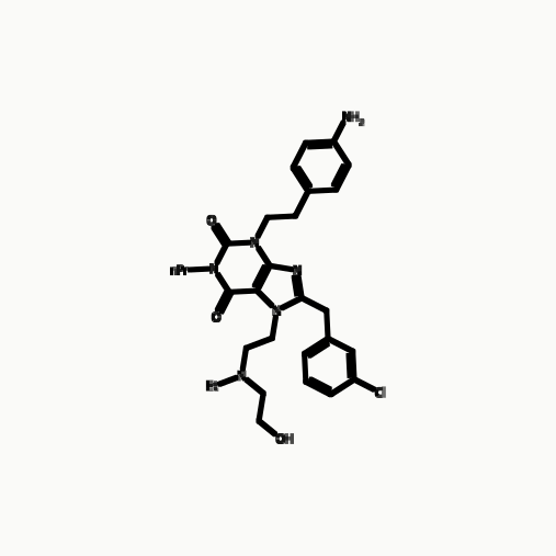 CCCn1c(=O)c2c(nc(Cc3cccc(Cl)c3)n2CCN(CC)CCO)n(CCc2ccc(N)cc2)c1=O